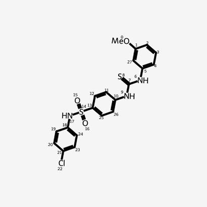 COc1cccc(NC(=S)Nc2ccc(S(=O)(=O)Nc3ccc(Cl)cc3)cc2)c1